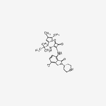 Cc1cc([C@H](Nc2c(Nc3ccc(Cl)c4c3C(=O)N(C3CCNCC3)C4)c(=O)c2=O)C(C)(C)C)oc1C